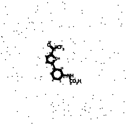 O=C(O)Nc1cccc(-c2ccc(C(=O)C(F)(F)F)s2)c1